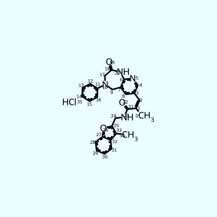 CC(=Cc1cnc2c(c1)CN(c1ccccc1)CC(=O)N2)C(=O)NCc1oc2ccccc2c1C.Cl